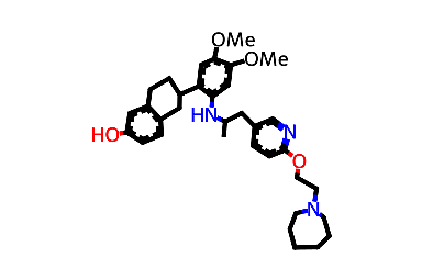 COc1cc(NC(C)Cc2ccc(OCCN3CCCCCC3)nc2)c(C2CCc3cc(O)ccc3C2)cc1OC